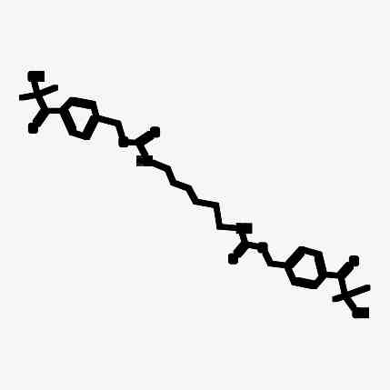 CC(C)(O)C(=O)c1ccc(COC(=O)NCCCCCCNC(=O)OCc2ccc(C(=O)C(C)(C)O)cc2)cc1